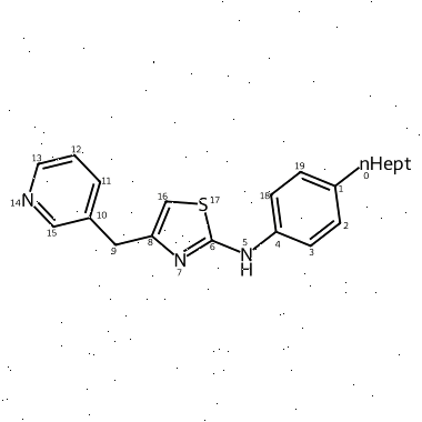 CCCCCCCc1ccc(Nc2nc(Cc3cccnc3)cs2)cc1